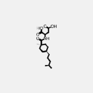 CC(C)CCC[C@H]1CC[C@@](C)(C(=O)NC(CC(=O)O)C(=O)O)CC1